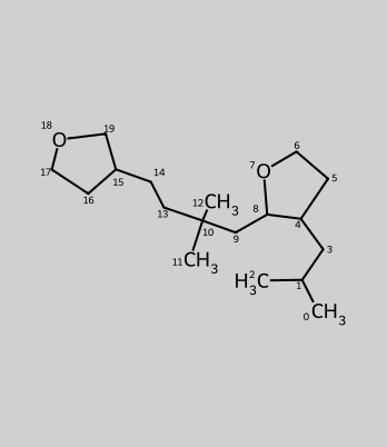 CC(C)CC1CCOC1CC(C)(C)CCC1CCOC1